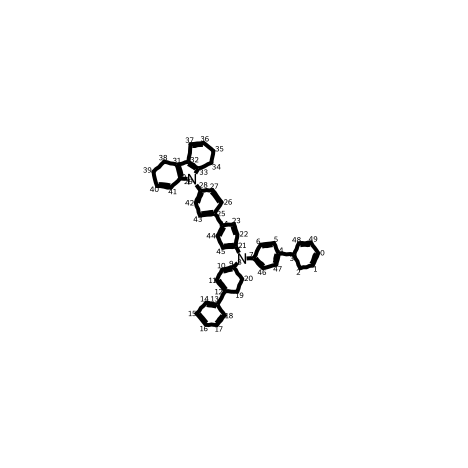 C1=CCC(c2ccc(N(C3=CC=C(c4ccccc4)CC3)c3ccc(-c4ccc(-n5c6c(c7c5CCC=C7)CCC=C6)cc4)cc3)cc2)C=C1